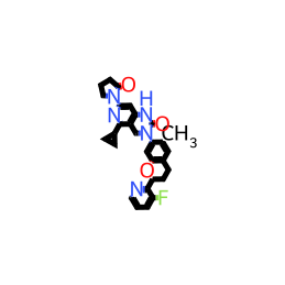 Cc1cc2c(cc1N1Cc3c(cc(N4CCCC4=O)nc3C3CC3)NC1=O)OC(c1ncccc1F)CC2